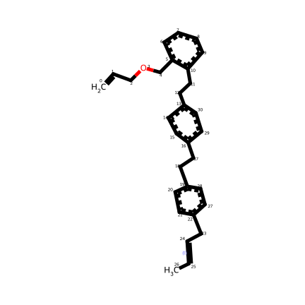 C=CCOCc1ccc[c]c1CCc1ccc(CCc2ccc(C/C=C/C)cc2)cc1